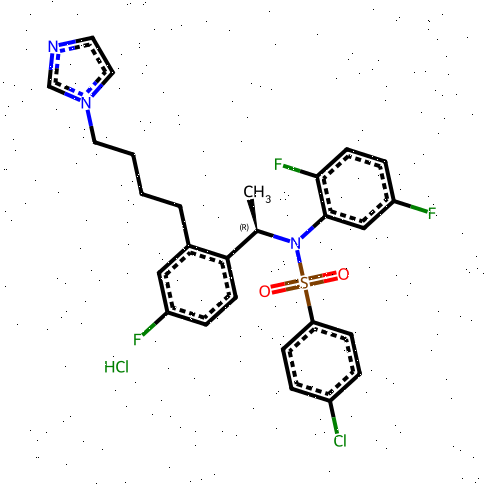 C[C@H](c1ccc(F)cc1CCCCn1ccnc1)N(c1cc(F)ccc1F)S(=O)(=O)c1ccc(Cl)cc1.Cl